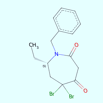 CC[C@H]1CC(Br)(Br)C(=O)CC(=O)N1Cc1ccccc1